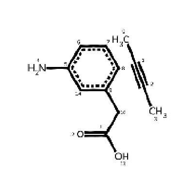 CC#CC.Nc1cccc(CC(=O)O)c1